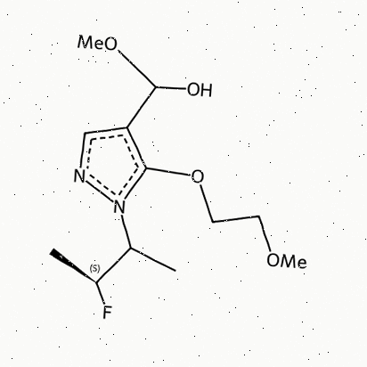 COCCOc1c(C(O)OC)cnn1C(C)[C@H](C)F